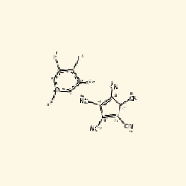 Fc1cc(F)c(I)c(F)c1.N#CC1=C(C#N)C(C#N)C(C#N)=C1C#N